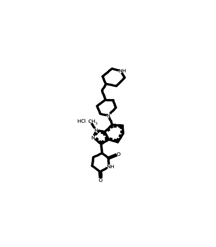 Cl.Cn1nc(C2CCC(=O)NC2=O)c2cccc(N3CCC(CC4CCNCC4)CC3)c21